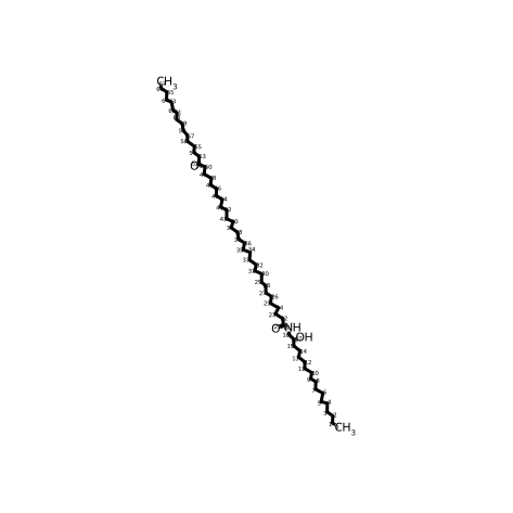 CCCCCCCCCCCCCCCC[C@@H](O)CNC(=O)CCCCCCCCCCCCCCCCCCCCCCCCCCCCCC(=O)CCCCCCCCCCCCCCC